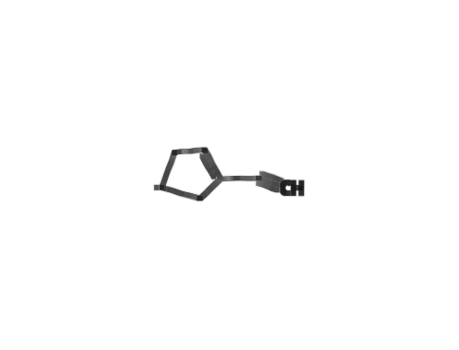 C#CC1=CC[CH]C1